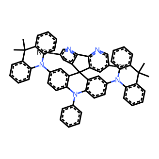 CC1(C)c2ccccc2N(c2ccc3c(c2)C2(c4cc(N5c6ccccc6C(C)(C)c6ccccc65)ccc4N3c3ccccc3)c3cc(C#N)cnc3-c3ncc(C#N)cc32)c2ccccc21